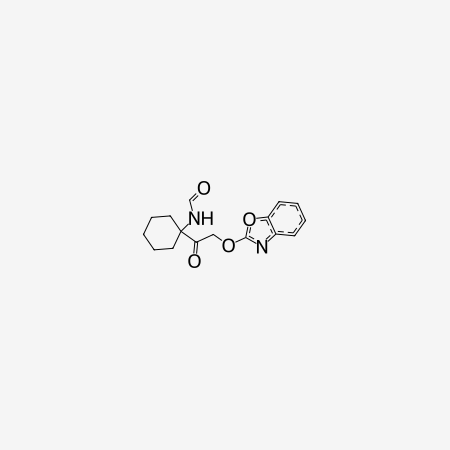 O=CNC1(C(=O)COc2nc3ccccc3o2)CCCCC1